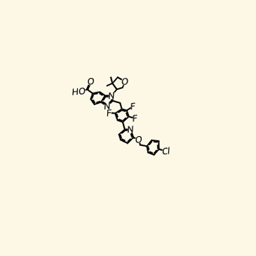 CC1(C)COCC1n1c(Cc2c(F)cc(-c3cccc(OCc4ccc(Cl)cc4)n3)c(F)c2F)nc2ccc(C(=O)O)cc21